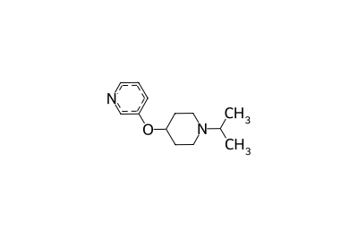 CC(C)N1CCC(Oc2cccnc2)CC1